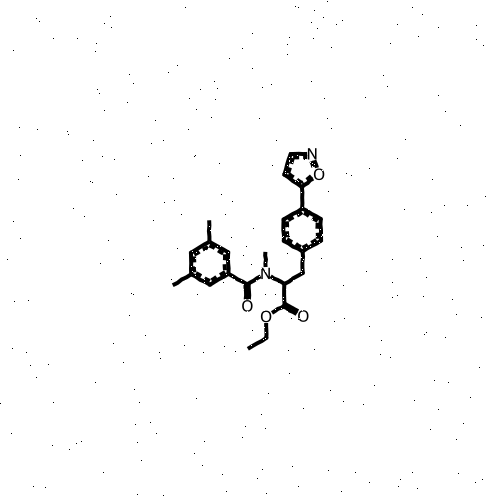 CCOC(=O)C(Cc1ccc(-c2ccno2)cc1)N(C)C(=O)c1cc(C)cc(C)c1